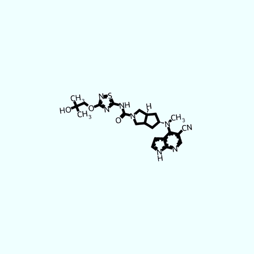 CN(c1c(C#N)cnc2[nH]ccc12)[C@@H]1CC2CN(C(=O)Nc3nc(OCC(C)(C)O)ns3)C[C@H]2C1